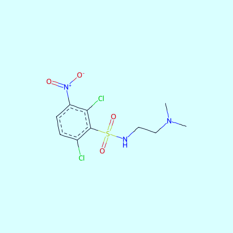 CN(C)CCNS(=O)(=O)c1c(Cl)ccc([N+](=O)[O-])c1Cl